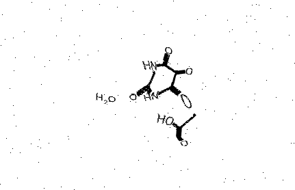 CC(=O)O.O.O=C1NC(=O)C(=O)C(=O)N1